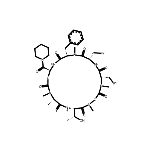 CC(C)C[C@@H]1NC(=O)[C@H](CC(C)C)N(C)C(=O)CN(C)C(=O)[C@H]([C@@H](C)O)NC(=O)[C@H](C)N(C)C(=O)C[C@@H](C(=O)N2CCCCC2)NC(=O)[C@H](Cc2ccccc2)N(C)C1=O